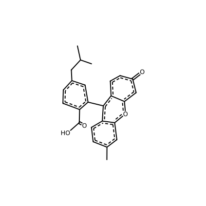 Cc1ccc2c(-c3cc(CC(C)C)ccc3C(=O)O)c3ccc(=O)cc-3oc2c1